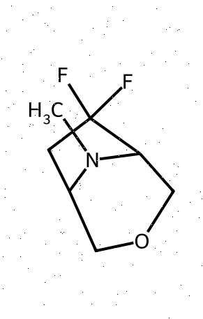 CN1C2COCC1C(F)(F)C2